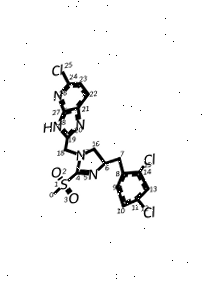 CS(=O)(=O)C1=NC(Cc2ccc(Cl)cc2Cl)CN1Cc1nc2ccc(Cl)nc2[nH]1